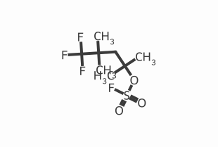 CC(C)(CC(C)(C)C(F)(F)F)OS(=O)(=O)F